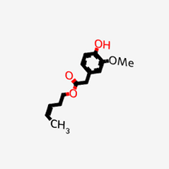 C/C=C\CCOC(=O)Cc1ccc(O)c(OC)c1